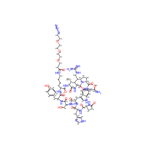 CC(C)CC(NC(=O)C(CCCCNC(=O)CCOCCOCCOCCN=[N+]=[N-])NC(=O)C(Cc1ccc(O)cc1)NC(=O)C(CO)NC(=O)C(Cc1c[nH]c2ccccc12)NC(=O)C(Cc1c[nH]cn1)NC(=O)C1CCC(=O)N1)C(=O)NC(CCCNC(=N)N)C(=O)N1CCCC1C(=O)NCC(N)=O